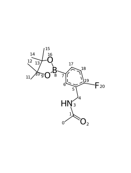 CC(=O)NCc1cc(B2OC(C)(C)C(C)(C)O2)ccc1F